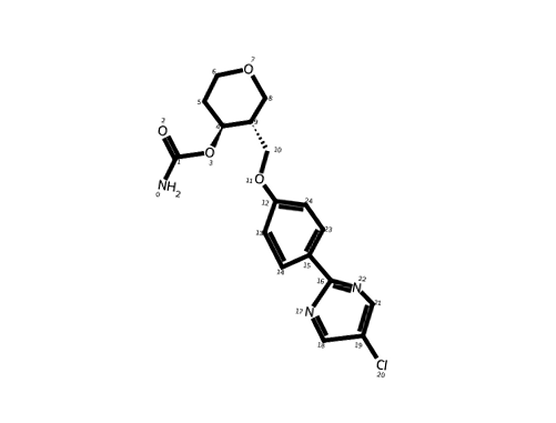 NC(=O)O[C@H]1CCOC[C@@H]1COc1ccc(-c2ncc(Cl)cn2)cc1